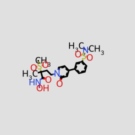 CN(C)S(=O)(=O)c1cccc(-c2ccn(CCC(C)(C(=O)NO)S(C)(=O)=O)c(=O)c2)c1